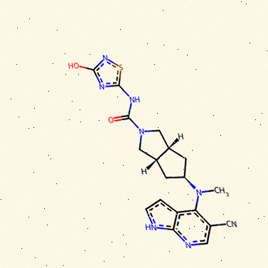 CN(c1c(C#N)cnc2[nH]ccc12)[C@H]1C[C@@H]2CN(C(=O)Nc3nc(O)ns3)C[C@@H]2C1